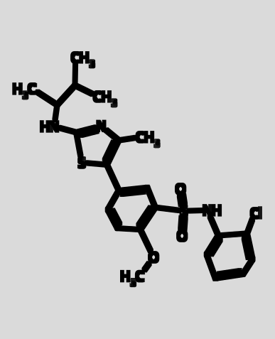 COc1ccc(-c2sc(NC(C)C(C)C)nc2C)cc1S(=O)(=O)Nc1ccccc1Cl